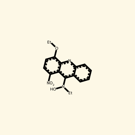 CCOc1ccc([N+](=O)[O-])c2c(N(O)CC)c3ccccc3nc12